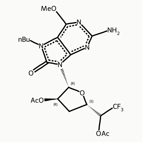 CCCCn1c(=O)n([C@@H]2O[C@H](C(OC(C)=O)C(F)(F)F)C[C@H]2OC(C)=O)c2nc(N)nc(OC)c21